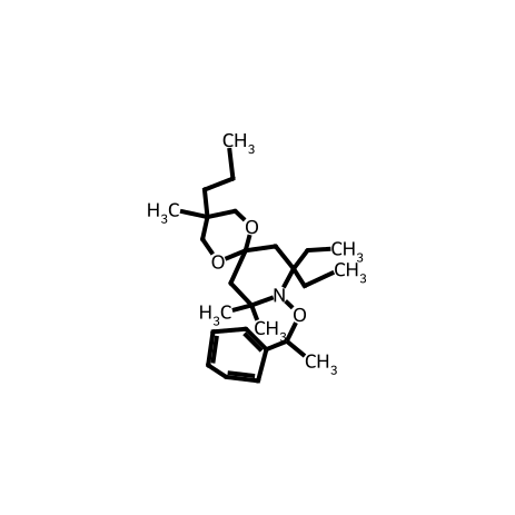 CCCC1(C)COC2(CC(C)(C)N(OC(C)c3ccccc3)C(CC)(CC)C2)OC1